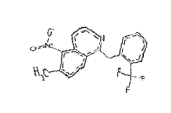 Cc1ccc2c(Cc3ccccc3C(F)(F)F)nccc2c1[N+](=O)[O-]